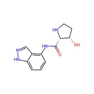 O=C(Nc1cccc2[nH]ncc12)[C@@H]1NCC[C@@H]1O